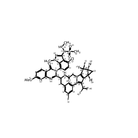 COc1ccc2c(=O)n(-c3ccc(Cl)c4c(N(PC)S(C)(=O)=O)nn(C)c34)c(C(Cc3cc(F)cc(F)c3)NC(=O)Cn3nc(C(F)F)c4c3C(F)(F)[C@@H]3C[C@H]43)nc2n1